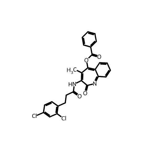 Cc1c(NC(=O)CCc2ccc(Cl)cc2Cl)c(=O)nc2ccccc2c1OC(=O)c1ccccc1